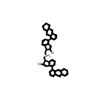 CCC1=Cc2c(-c3cccc4cc5ccccc5cc34)cccc2C1C[SiH2]CC1C(CC)=Cc2c(-c3cccc4cc5ccccc5cc34)cccc21